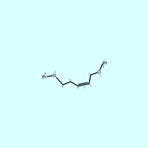 CC(C)OC/C=C\CCOC(C)C